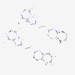 Cc1ncc(C)n2nc(/C=C/c3ccc4cc(Cl)cc(F)c4n3)nc12.Cc1ncc(C)n2nc(/C=C/c3ccc4cc(Cl)ccc4n3)nc12